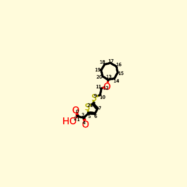 O=C(O)C(=O)c1ccc(SCCOC2CCCCCCC2)s1